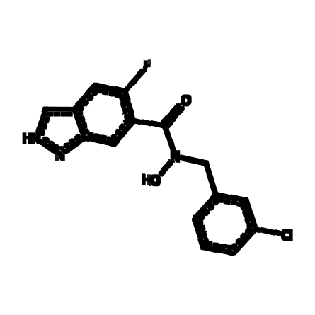 O=C(c1cc2n[nH]cc2cc1F)N(O)Cc1cccc(Cl)c1